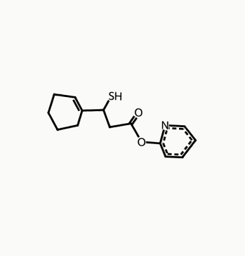 O=C(CC(S)C1=CCCCC1)Oc1ccccn1